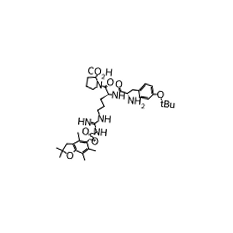 Cc1c(C)c(S(=O)(=O)NC(=N)NCCC[C@H](NC(=O)[C@@H](N)Cc2ccc(OC(C)(C)C)cc2)C(=O)N2CCC[C@H]2C(=O)O)c(C)c2c1OC(C)(C)C2